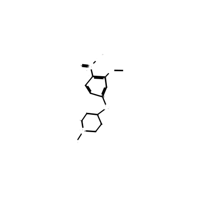 COc1cc(NC2CCN(C)CC2)ccc1[N+](=O)[O-]